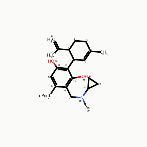 C=C(C)C1CCC(C)=CC1c1c(O)cc(CCCCC)c(CN(C(C)=O)C2CC2)c1O